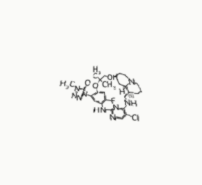 Cn1nnn(-c2cc(Nc3ncc(Cl)c(NC[C@@H]4CCCN5CCCC[C@H]45)n3)c(F)cc2OC(C)(C)CO)c1=O